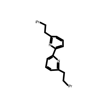 CC(C)CCc1cccc(-c2cccc(CCC(C)C)n2)n1